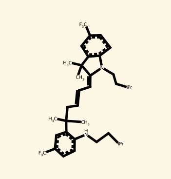 CC(C)CCNc1ccc(C(F)(F)F)cc1C(C)(C)C/C=C/C=C1/N(CCC(C)C)c2ccc(C(F)(F)F)cc2C1(C)C